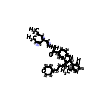 C=C/C=C(\C=C/C)/C=N/NC(=O)c1ccc2nc(-c3[nH]cnc3C)c(NCCN3CCOCC3)n2c1